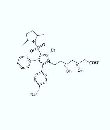 CCc1c(S(=O)(=O)N2C(C)CCC2C)c(-c2ccccc2)c(-c2ccc(F)cc2)n1CC[C@@H](O)C[C@@H](O)CC(=O)[O-].[Na+]